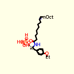 CCCCCCCC/C=C\CCCCCCCC(=O)N[C@@H](CO[PH](O)(O)O)Cc1ccc(OCC)cc1